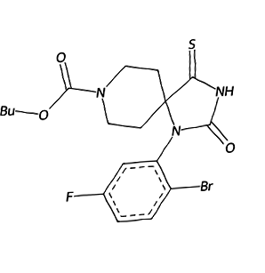 CC(C)(C)OC(=O)N1CCC2(CC1)C(=S)NC(=O)N2c1cc(F)ccc1Br